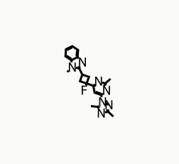 Cc1nc(-n2nc(C)nc2C)cc(C2(F)CC(c3nc4ccccc4n3C)C2)n1